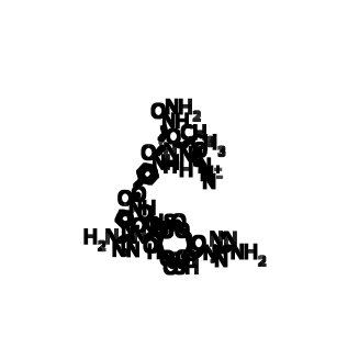 CC(C)[C@H](NC(=O)CN=[N+]=[N-])C(=O)N[C@@H](CCCNC(N)=O)C(=O)Nc1ccc(COC(=O)N[C@H]2CCC[C@@H]2OC(=O)O[C@@H]2[C@@H]3O[P@](=O)(S)OCC4O[C@@H](n5cnc6c(N)ncnc65)C[C@@H]4O[P@](=O)(S)OC[C@H]3O[C@H]2n2cnc3c(N)ncnc32)cc1